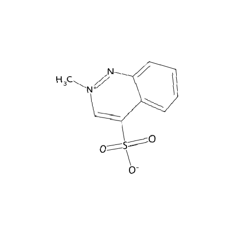 C[n+]1cc(S(=O)(=O)[O-])c2ccccc2n1